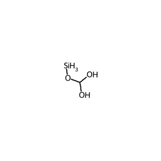 OC(O)O[SiH3]